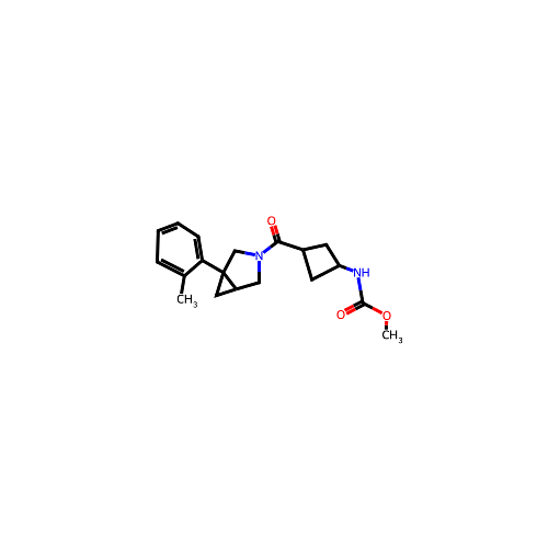 COC(=O)NC1CC(C(=O)N2CC3CC3(c3ccccc3C)C2)C1